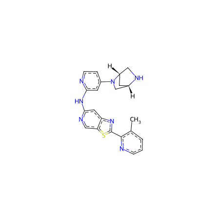 Cc1cccnc1-c1nc2cc(Nc3cc(N4C[C@@H]5C[C@H]4CN5)ccn3)ncc2s1